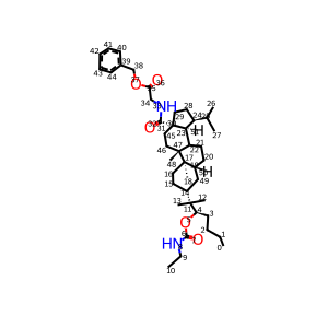 CCCC[C@@H](OC(=O)NCC)C(C)(C)[C@@H]1CC[C@]2(C)[C@H](CCC3[C@@H]4[C@H](C(C)C)CC[C@]4(C(=O)NCC(=O)OCc4ccccc4)CC[C@]32C)C1